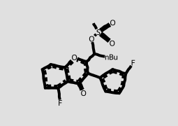 CCCCC(OS(C)(=O)=O)c1oc2cccc(F)c2c(=O)c1-c1cccc(F)c1